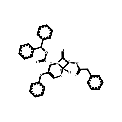 O=C(Cc1ccccc1)N[C@@H]1C(=O)N2[C@@H](C(=O)OC(c3ccccc3)c3ccccc3)C(Sc3ccccc3)=CS[C@@H]12